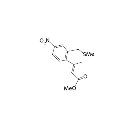 COC(=O)/C=C(\C)c1ccc([N+](=O)[O-])cc1CSC